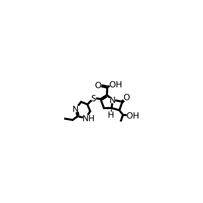 CCC1=NCC(SC2=C(C(=O)O)N3C(=O)C(C(C)O)[C@H]3C2)CN1